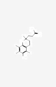 Cc1c(C)c2c(c(C)c1O)CCC(C)(CCC(=O)Cl)O2